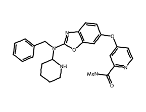 CNC(=O)c1cc(Oc2ccc3nc(N(Cc4ccccc4)C4CCCCN4)oc3c2)ccn1